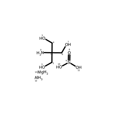 NC(CO)(CO)CO.O=[Si](O)O.[AlH3].[MgH2]